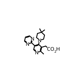 Cc1ncc(-c2ncccn2)c(N2CCC(C)(C)CC2)c1CC(=O)O